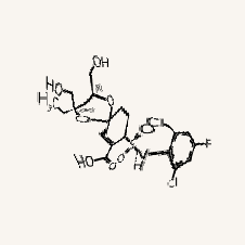 CC[C@]1(CO)OC2(C=C(C(=O)O)C(S(=O)(=O)Nc3c(Cl)cc(F)cc3Cl)CC2)O[C@@H]1CO